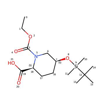 CCOC(=O)N1C[C@@H](O[Si](C)(C)C(C)(C)C)CC[C@H]1C(=O)O